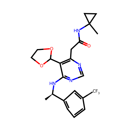 C[C@@H](Nc1ncnc(CC(=O)NC2(C)CC2)c1C1OCCO1)c1cccc(C(F)(F)F)c1